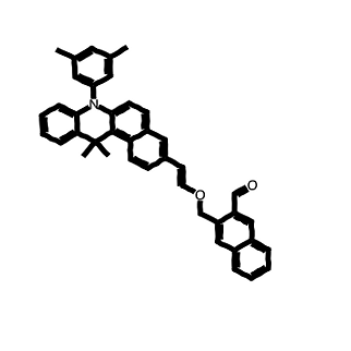 Cc1cc(C)cc(N2c3ccccc3C(C)(C)c3c2ccc2cc(C=COCc4cc5ccccc5cc4C=O)ccc32)c1